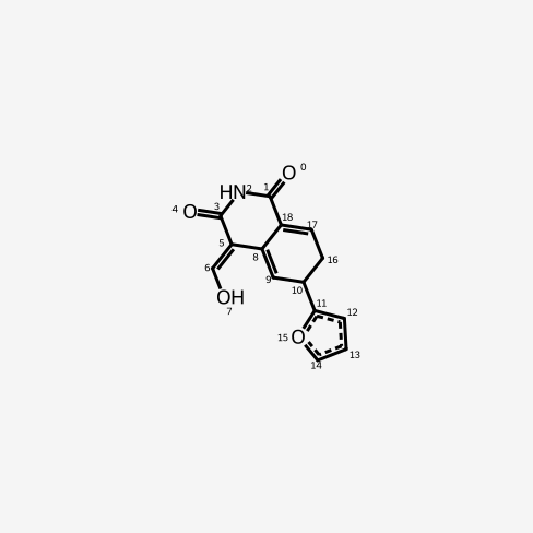 O=C1NC(=O)/C(=C/O)C2=CC(c3ccco3)CC=C12